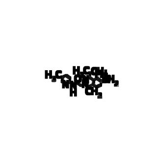 Bc1ccc2c(c1P)C(C(C)C)=NN(CC(=O)Nc1ccc(C)cn1)C2=C